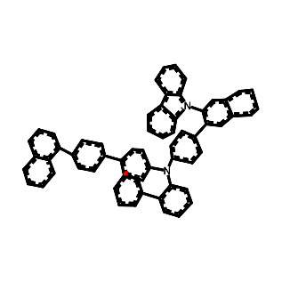 c1ccc(-c2ccccc2N(c2ccc(-c3ccc(-c4cccc5ccccc45)cc3)cc2)c2ccc(-c3cc4ccccc4cc3-n3c4ccccc4c4ccccc43)cc2)cc1